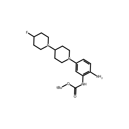 CC(C)(C)OC(=O)Nc1cc(N2CCC(N3CCC(F)CC3)CC2)ccc1N